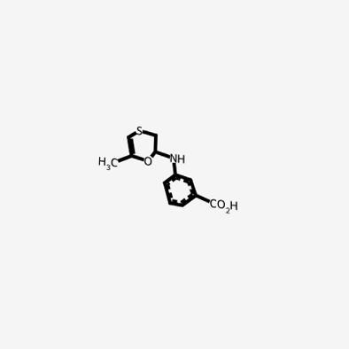 CC1=CSCC(Nc2cccc(C(=O)O)c2)O1